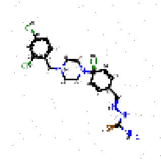 NC(=S)N/N=C/C1C=CC(Cl)(N2CCN(Cc3ccc(Cl)cc3Cl)CC2)C=C1